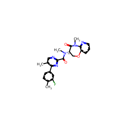 Cc1ccc(-c2nc(C(=O)N(C)[C@H]3COc4cccnc4N(C)C3=O)ncc2C)cc1F